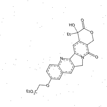 CCOC(=O)COc1ccc2nc3c(cc2c1)Cn1c-3cc2c(c1=O)COC(=O)C2(O)CC